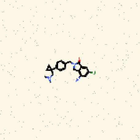 CN(C)CC1(c2ccc(CN3Cc4c(N)cc(Cl)cc4C3=O)cc2)CC1